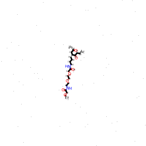 CCOCC(=O)NCCOCCOCC(=O)NCCCC[C@H](CC(=O)C(C)C)C(=O)CCC(C)=O